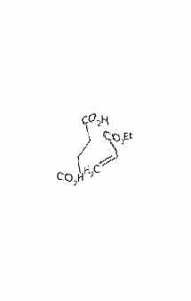 C=CC(=O)OCC.O=C(O)CCC(=O)O